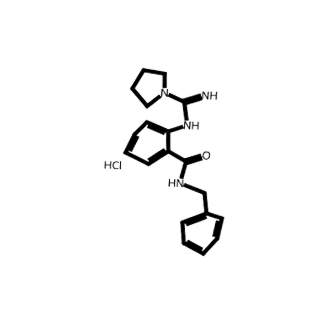 Cl.N=C(Nc1ccccc1C(=O)NCc1ccccc1)N1CCCC1